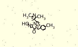 Cc1ccc(CN(C(=O)C2CN(O)C2)c2nc(-c3sc(C)nc3C)cs2)cc1